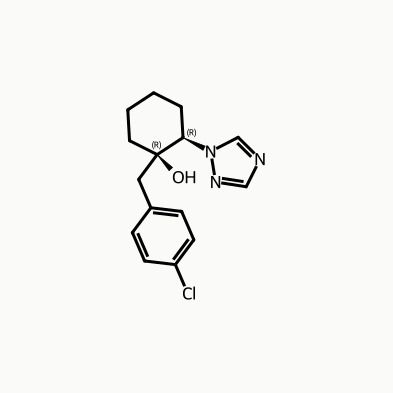 O[C@@]1(Cc2ccc(Cl)cc2)CCCC[C@H]1n1cncn1